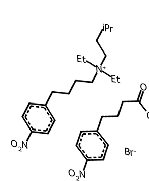 CC[N+](CC)(CCCCc1ccc([N+](=O)[O-])cc1)CCC(C)C.O=C(Cl)CCCc1ccc([N+](=O)[O-])cc1.[Br-]